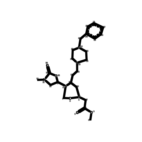 COC(=O)CN1CCN(C2CN(C)C(=O)O2)C(CCN2CCN(Cc3ccccc3)CC2)C1